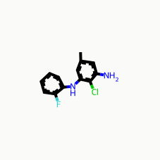 Cc1cc(N)c(Cl)c(Nc2ccccc2F)c1